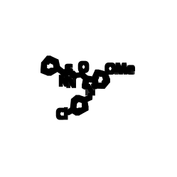 COc1ccc2c(c1)c(C(=O)c1nnc(-c3ccccc3)s1)cn2Cc1ccc(Cl)cc1